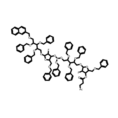 CC(=O)CCC(=O)OC1C(COCc2ccccc2)OC(OCC(OCc2ccccc2)C(OCc2ccccc2)C(COP(OCc2ccccc2)OC2C(COCc3ccccc3)OC(OCC(OCc3ccccc3)C(OCc3ccccc3)C(COCc3ccc4ccccc4c3)OCc3ccccc3)C2F)OCc2ccccc2)C1F